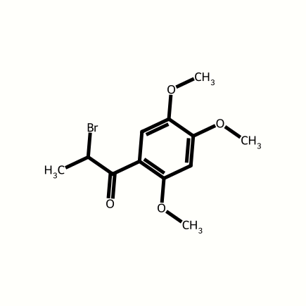 COc1cc(OC)c(C(=O)C(C)Br)cc1OC